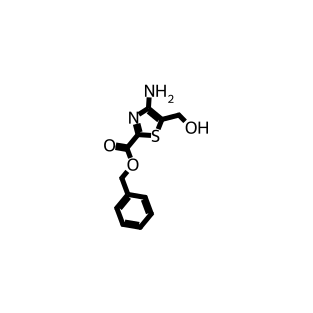 Nc1nc(C(=O)OCc2ccccc2)sc1CO